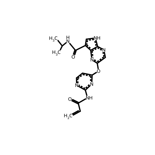 C=CC(=O)Nc1nccc(Oc2cnc3[nH]cc(C(=O)NC(C)C)c3n2)n1